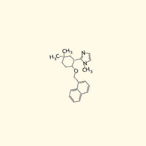 Cn1ccnc1C1CC(C)(C)CCC1OCc1cccc2ccccc12